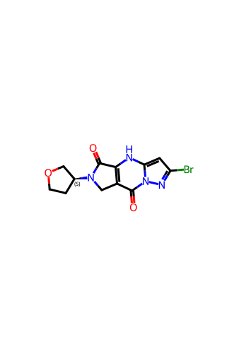 O=C1c2[nH]c3cc(Br)nn3c(=O)c2CN1[C@H]1CCOC1